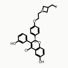 Oc1cccc(C2=C(Cl)c3cc(O)ccc3O[C@@H]2c2ccc(OCCN3CC(CF)C3)cc2)c1